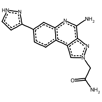 NC(=O)Cn1cc2c(n1)c(N)nc1cc(-c3cc[nH]n3)ccc12